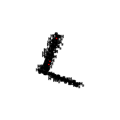 CC(C)C[C@H](N)C(=O)O.CC(C)C[C@H](N)C(=O)O.CC(C)[C@H](N)C(=O)O.CC[C@H](C)[C@H](N)C(=O)O.NC(=O)CC[C@H](N)C(=O)O.NC(=O)C[C@H](N)C(=O)O.NC(=O)C[C@H](N)C(=O)O.NCC(=O)O.N[C@@H](CO)C(=O)O.N[C@@H](Cc1ccc(O)cc1)C(=O)O.N[C@@H](Cc1ccccc1)C(=O)O.O=C(O)[C@@H]1CCCN1.O=C(O)[C@@H]1CCCN1.O=C(O)[C@@H]1CCCN1.O=C(O)[C@@H]1CCCN1.O=C(O)[C@@H]1CCCN1